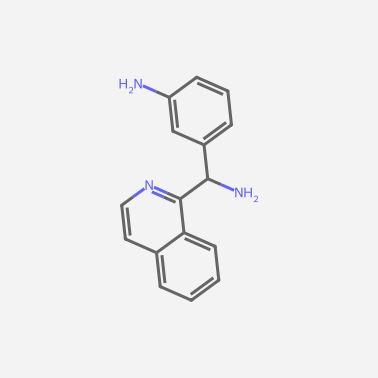 Nc1cccc(C(N)c2nccc3ccccc23)c1